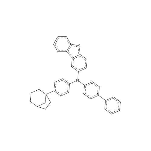 c1ccc(-c2ccc(N(c3ccc(C45CCCC(CC4)C5)cc3)c3ccc4sc5ccccc5c4c3)cc2)cc1